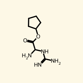 N=C(N)NC(N)C(=O)OC1CCCC1